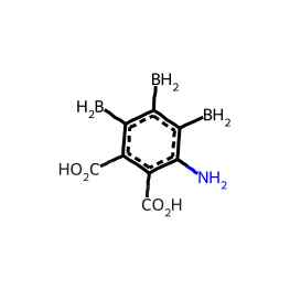 Bc1c(B)c(N)c(C(=O)O)c(C(=O)O)c1B